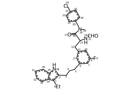 CCc1c(CCCc2cc(F)cc(CC(NC=O)C(=O)N(C)c3ccc(Cl)cc3)c2)[nH]c2ccccc12